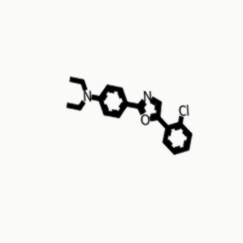 CCN(CC)c1ccc(-c2ncc(-c3ccccc3Cl)o2)cc1